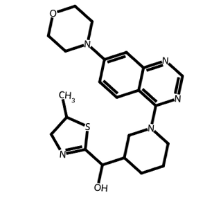 CC1CN=C(C(O)C2CCCN(c3ncnc4cc(N5CCOCC5)ccc34)C2)S1